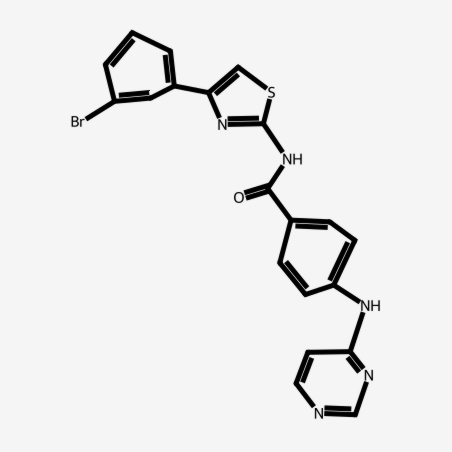 O=C(Nc1nc(-c2cccc(Br)c2)cs1)c1ccc(Nc2ccncn2)cc1